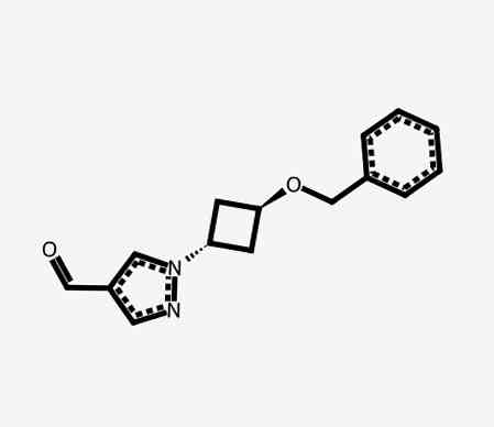 O=Cc1cnn([C@H]2C[C@H](OCc3ccccc3)C2)c1